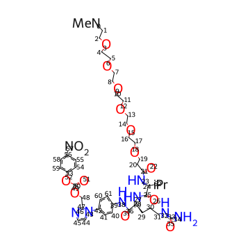 CNCCOCCOCCOCCOCCOCCOCCC(=O)NC(C(=O)N[C@@H](CCCNC(N)=O)C(=O)Nc1ccc(-n2ccnc2COC(=O)Oc2ccc([N+](=O)[O-])cc2)cc1)C(C)C